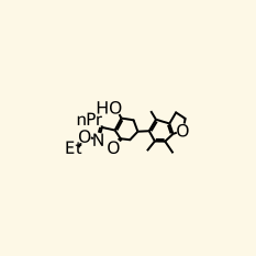 CCCC(=NOCC)C1=C(O)CC(c2c(C)c(C)c3c(c2C)CCO3)CC1=O